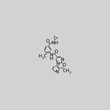 Cc1ccc(C(=O)NC2CC2)cc1NC(=O)c1cnc(OC(C)c2ccccn2)nc1